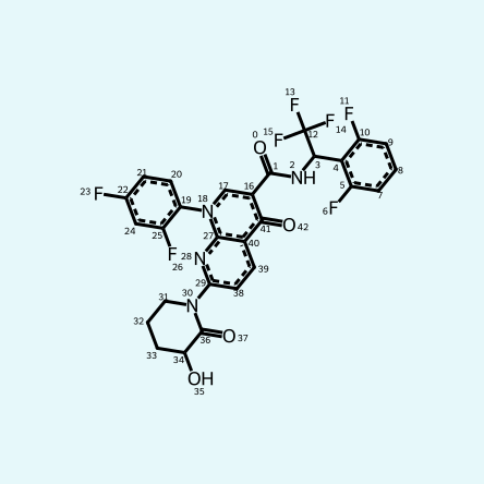 O=C(NC(c1c(F)cccc1F)C(F)(F)F)c1cn(-c2ccc(F)cc2F)c2nc(N3CCCC(O)C3=O)ccc2c1=O